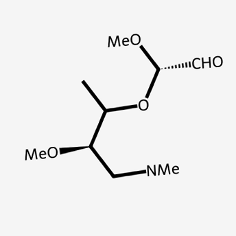 CNC[C@@H](OC)C(C)O[C@@H](C=O)OC